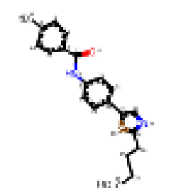 CC(C)(C)c1ccc(C(=O)Nc2ccc(-c3cnc(CCCC(=O)O)s3)cc2)cc1